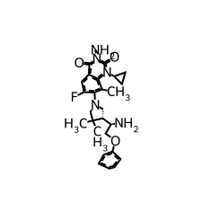 Cc1c(N2C[C@H]([C@@H](N)COc3ccccc3)C(C)(C)C2)c(F)cc2c(=O)n(N)c(=O)n(C3CC3)c12